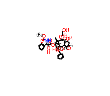 CC(=O)O[C@@]12CO[C@@H]1C[C@H](O)[C@@]1(C)C(=O)[C@H](OC(=O)CO)C3=C(C)[C@]4(OC(=O)[C@H](O)[C@@H](NC(=O)OC(C)(C)C)c5ccccc5)C[C@@](O)([C@@H](OC(=O)c5ccccc5)C12)[C@@]34C